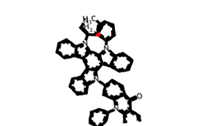 C/C=C\C(=C/N)n1c2ccccc2c2c3c4ccccc4n(-c4ccc5c(=O)c6ccccc6n(-c6ccccc6)c5c4)c3c3c4ccccc4n(-c4ccccn4)c3c21